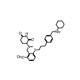 CN(Cc1c(C=O)cccc1SCCCc1ccc(CNC2CCCCC2)cc1)C1CCC(=O)NC1=O